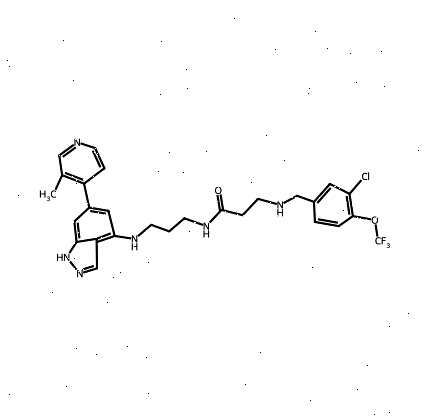 Cc1cnccc1-c1cc(NCCCNC(=O)CCNCc2ccc(OC(F)(F)F)c(Cl)c2)c2cn[nH]c2c1